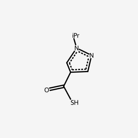 CC(C)n1cc(C(=O)S)cn1